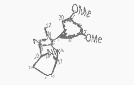 COc1cc(OC)cc(-c2c3c(nn2C)C2CCCC(C3)N2)c1